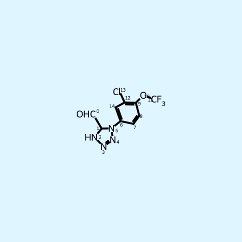 O=CC1NN=NN1c1ccc(OC(F)(F)F)c(Cl)c1